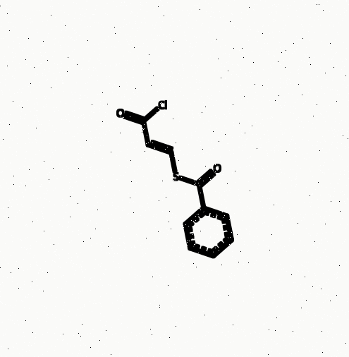 O=C(Cl)C=CSC(=O)c1ccccc1